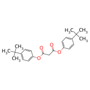 CC(C)(C)c1ccc(OC(=O)CC(=O)Oc2ccc(C(C)(C)C)cc2)cc1